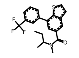 CCC(C)N(C)C(=O)c1cc(-c2cccc(C(F)(F)F)c2)c2sccc2c1